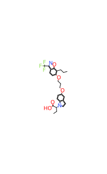 CCCc1c(OCCCOc2ccc3c(ccn3C(CC)C(=O)O)c2)ccc2c(C(F)(F)F)noc12